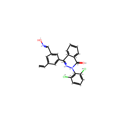 C=Cc1cc(/C=N/O)cc(-c2nn(-c3c(Cl)cccc3Cl)c(=O)c3ccccc23)c1